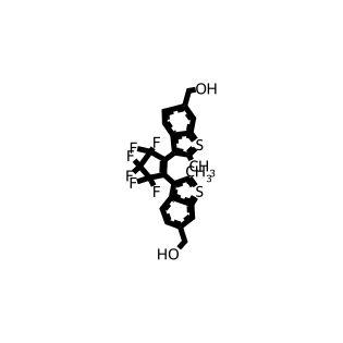 Cc1sc2cc(CO)ccc2c1C1=C(c2c(C)sc3cc(CO)ccc23)C(F)(F)C(F)(F)C1(F)F